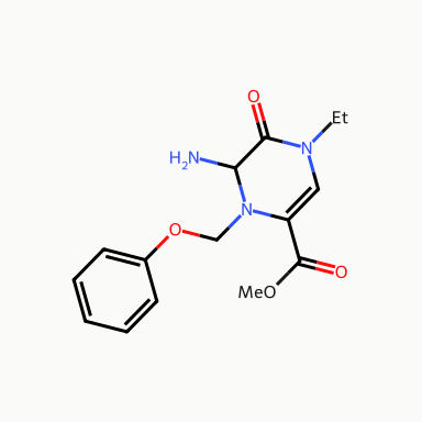 CCN1C=C(C(=O)OC)N(COc2ccccc2)C(N)C1=O